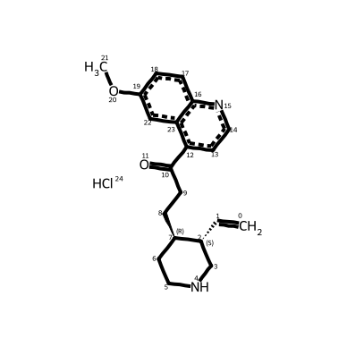 C=C[C@@H]1CNCC[C@H]1CCC(=O)c1ccnc2ccc(OC)cc12.Cl